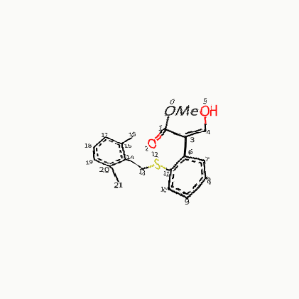 COC(=O)C(=CO)c1ccccc1SCc1c(C)cccc1C